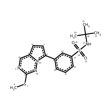 CSc1ncc2ccc(-c3cccc(S(=O)(=O)NC(C)(C)C)c3)n2n1